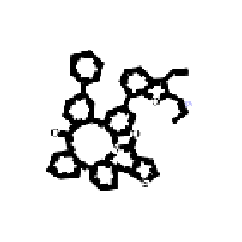 C=Cc1c(/C=C\C)oc2c(-c3ccc4c(c3)c3cc(-c5ccccc5)ccc3c(=O)c3ccccc3c3cccc5c6sccc6c(=O)n4c35)cccc12